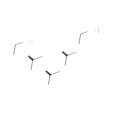 CC(C)=O.CC(C)=O.CC(C)=O.CCO.CCO